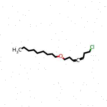 CCCCCCCCCOCCC=C=CCCCl